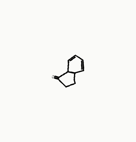 O=C1CCC2C=CC=CC12